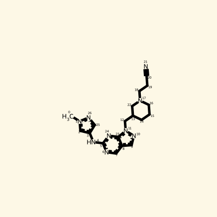 Cn1cc(Nc2ncc3cnn(CC4CCCN(CCC#N)C4)c3n2)cn1